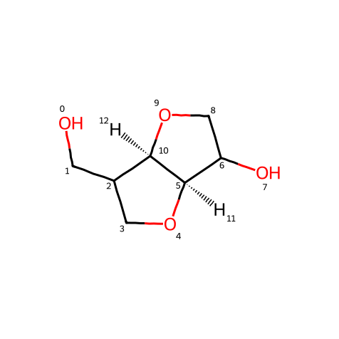 OCC1CO[C@@H]2C(O)CO[C@H]12